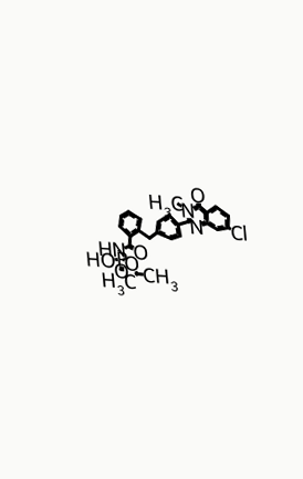 CC(C)OP(=O)(O)NC(=O)c1ccccc1Cc1ccc(-c2nc3cc(Cl)ccc3c(=O)n2C)cc1